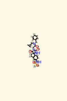 C[C@@H](C1CC1)N(Cc1ccccc1)C(=O)CN1C(=O)NC2(CCc3cc(NS(C)(=O)=O)ccc32)C1=O